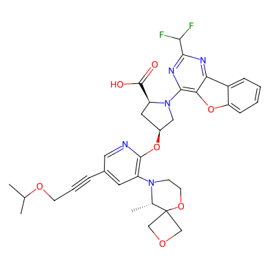 CC(C)OCC#Cc1cnc(O[C@H]2C[C@@H](C(=O)O)N(c3nc(C(F)F)nc4c3oc3ccccc34)C2)c(N2CCOC3(COC3)[C@@H]2C)c1